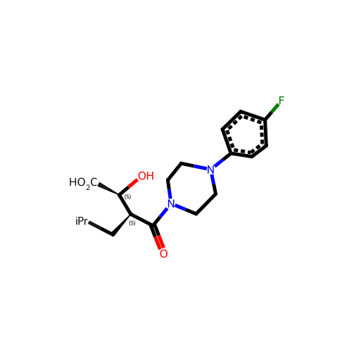 CC(C)C[C@H](C(=O)N1CCN(c2ccc(F)cc2)CC1)[C@H](O)C(=O)O